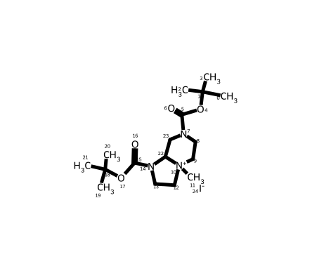 CC(C)(C)OC(=O)N1CC[N+]2(C)CCN(C(=O)OC(C)(C)C)C2C1.[I-]